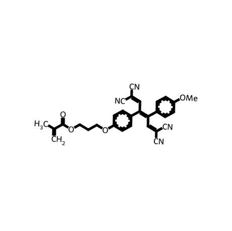 C=C(C)C(=O)OCCCOc1ccc(/C(C=C(C#N)C#N)=C(\C=C(C#N)C#N)c2ccc(OC)cc2)cc1